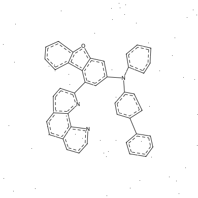 c1ccc(-c2ccc(N(c3ccccc3)c3cc(-c4ccc5ccc6cccnc6c5n4)c4c(c3)oc3ccccc34)cc2)cc1